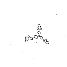 c1ccc2oc(-c3ccc(N(c4ccc(-c5ccc6c(c5)oc5ncncc56)cc4)c4ccc(-c5nc6ccccc6o5)cc4)cc3)nc2c1